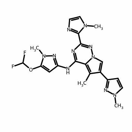 Cc1c(-c2ccn(C)n2)cn2nc(-c3nccn3C)nc(Nc3cc(OC(F)F)n(C)n3)c12